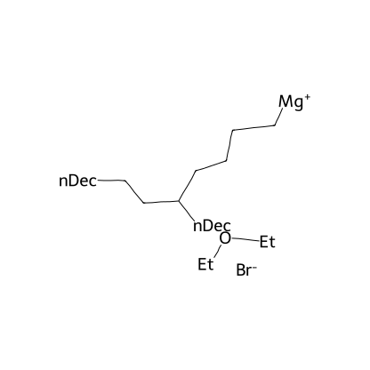 CCCCCCCCCCCCC(CCC[CH2][Mg+])CCCCCCCCCC.CCOCC.[Br-]